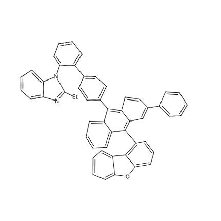 CCc1nc2ccccc2n1-c1ccccc1-c1ccc(-c2c3ccccc3c(-c3cccc4oc5ccccc5c34)c3cc(-c4ccccc4)ccc23)cc1